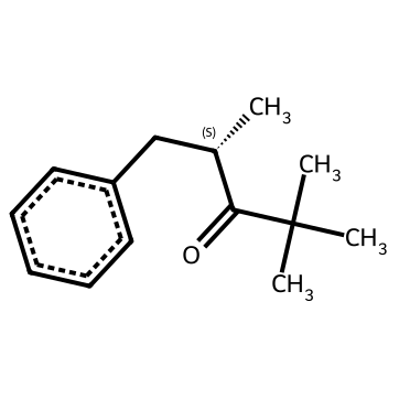 C[C@@H](Cc1ccccc1)C(=O)C(C)(C)C